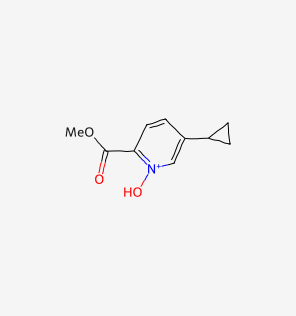 COC(=O)c1ccc(C2CC2)c[n+]1O